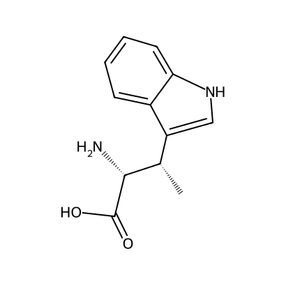 C[C@@H](c1c[nH]c2ccccc12)[C@@H](N)C(=O)O